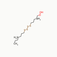 CCC[SiH2]CCCSSSSCCC[SiH2]COO